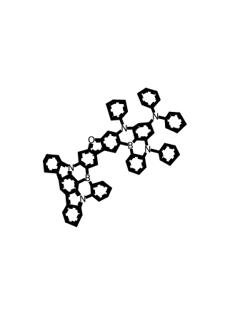 c1ccc(N(c2ccccc2)c2cc3c4c(c2)N(c2ccccc2)c2cc5oc6cc7c(cc6c5cc2B4c2ccccc2N3c2ccccc2)B2c3ccccc3-n3c4ccccc4c4cc5c6ccccc6n-7c5c2c43)cc1